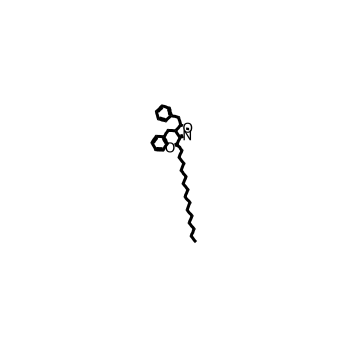 CCCCCCCCCCCCCCCC(=O)C1=NOC(Cc2ccccc2)C1Cc1ccccc1